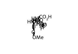 COCCOCCOCC(=O)NC(C)C(=O)NC(CC(=O)O)C(=O)OC(C)(C)C.O=C(O)C(F)(F)F